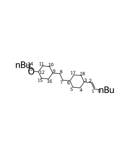 CCCCC=CC1CCC(CCC2CCC(OCCCC)CC2)CC1